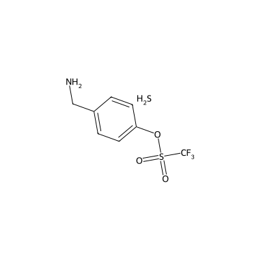 NCc1ccc(OS(=O)(=O)C(F)(F)F)cc1.S